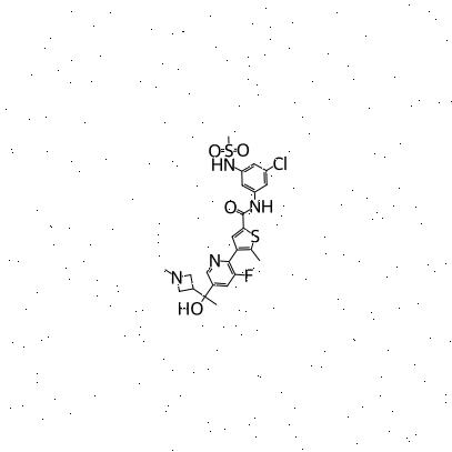 Cc1sc(C(=O)Nc2cc(Cl)cc(NS(C)(=O)=O)c2)cc1-c1ncc(C(C)(O)C2CN(C)C2)cc1F